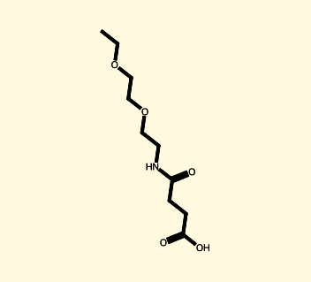 CCOCCOCCNC(=O)CCC(=O)O